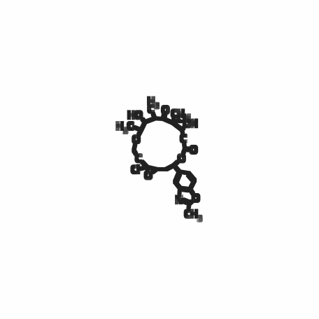 Cc1nc2cc(C3CC4OC4(Cl)CCOC(C)C(O)C(C)C(=O)C(C)(C)C(O)CC(=O)O3)ccc2o1